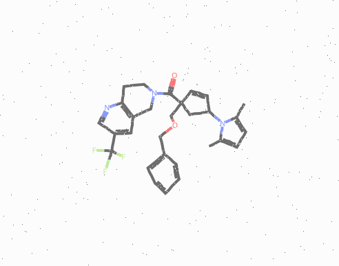 Cc1ccc(C)n1C1C=CC(COCc2ccccc2)(C(=O)N2CCc3ncc(C(F)(F)F)cc3C2)C1